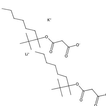 CCCCCCC(C)(OC(=O)CC(=O)[O-])C(C)(C)C.CCCCCCC(C)(OC(=O)CC(=O)[O-])C(C)(C)C.[K+].[Li+]